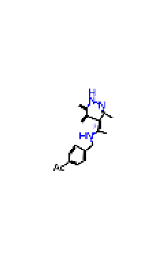 C=C1NN=C(C)/C(=C(\C)NCc2ccc(C(C)=O)cc2)C1=C